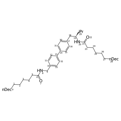 CCCCCCCCCCCCCCCC(=O)NCc1ccc(-c2ccc(C[C@H](NC(=O)CCCCCCCCCCCCCCC)C(C)C)cc2)cc1